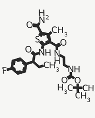 CCC(C(=O)Nc1sc(C(N)=O)c(C)c1C(=O)NCCNC(=O)OC(C)(C)C)c1ccc(F)cc1